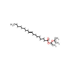 CCCCCCCCC=CCCCCCCCC(=O)OC(C)OC(C)C